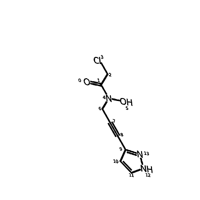 O=C(CCl)N(O)CC#Cc1cc[nH]n1